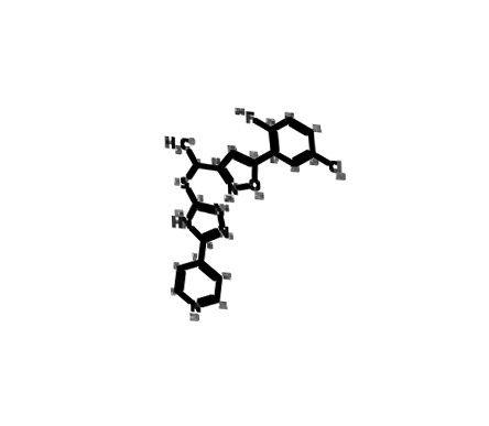 CC(Sc1nnc(-c2ccncc2)[nH]1)c1cc(-c2cc(Cl)ccc2F)on1